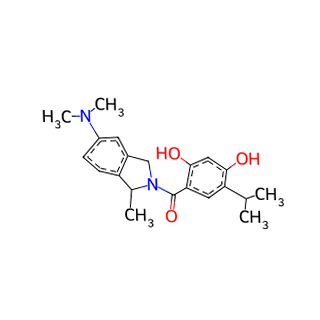 CC(C)c1cc(C(=O)N2Cc3cc(N(C)C)ccc3C2C)c(O)cc1O